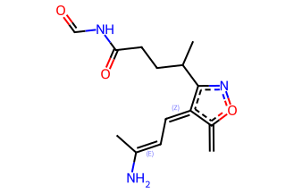 C=c1onc(C(C)CCC(=O)NC=O)/c1=C/C=C(\C)N